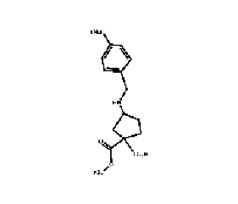 CCCCCCCCCc1ccc(CNC2CCC(C(=O)O)(C(=O)OCCCC)C2)cc1